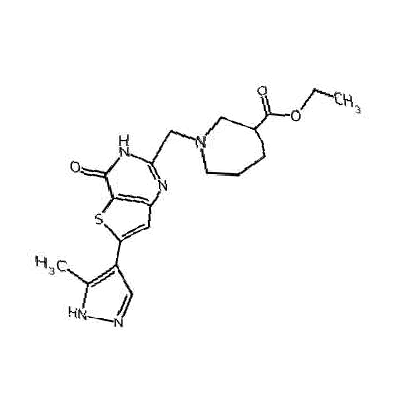 CCOC(=O)C1CCCN(Cc2nc3cc(-c4cn[nH]c4C)sc3c(=O)[nH]2)C1